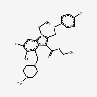 CCOC(=O)c1c(CSc2ccc(Cl)cc2)n(CC)c2cc(Br)c(O)c(CN3CCN(C)CC3)c12